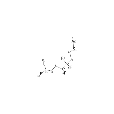 CC(=O)SCCC(F)(F)C(F)CCC(F)F